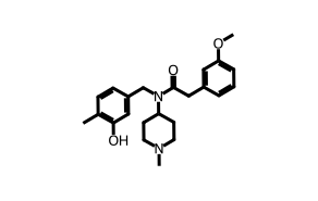 COc1cccc(CC(=O)N(Cc2ccc(C)c(O)c2)C2CCN(C)CC2)c1